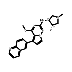 COc1nc(N[C@@H]2CN(C)C[C@@H]2F)nn2ccc(-c3ccc4ncccc4c3)c12